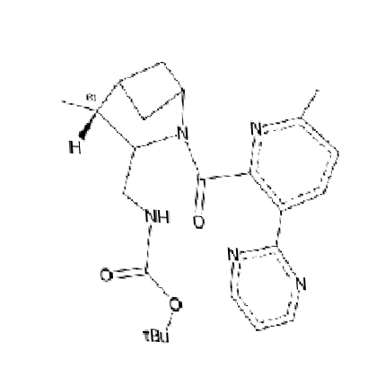 Cc1ccc(-c2ncccn2)c(C(=O)N2C3CC(C3)[C@@H](C)C2CNC(=O)OC(C)(C)C)n1